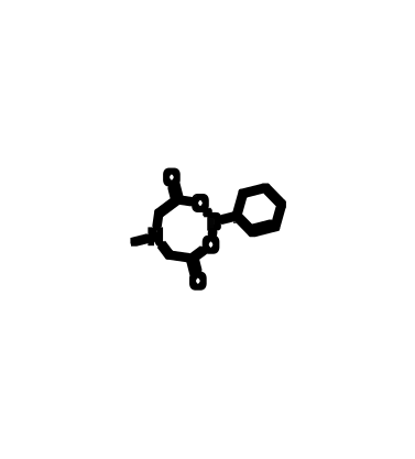 CN1CC(=O)OB([C]2C=CCCC2)OC(=O)C1